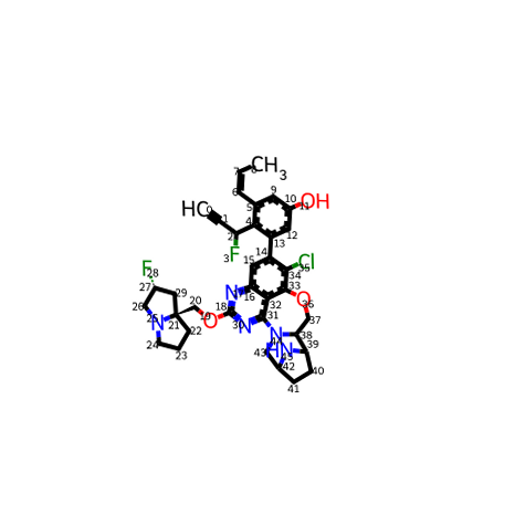 C#CC(F)c1c(/C=C\C)cc(O)cc1-c1cc2nc(OC[C@@]34CCCN3C[C@H](F)C4)nc3c2c(c1Cl)OCC1C2CCC(CN31)N2